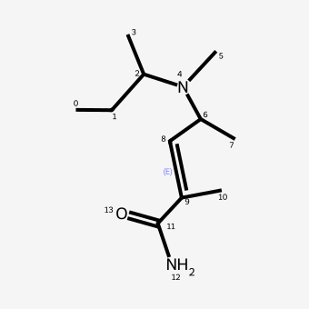 CCC(C)N(C)C(C)/C=C(\C)C(N)=O